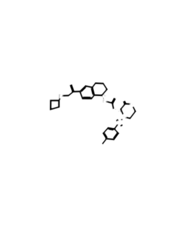 C=C(CNC1CCC1)c1ccc2c(c1)CCC[C@H]2NC(=O)C[C@@H]1C(=O)NCCN1S(=O)(=O)c1ccc(C)cc1